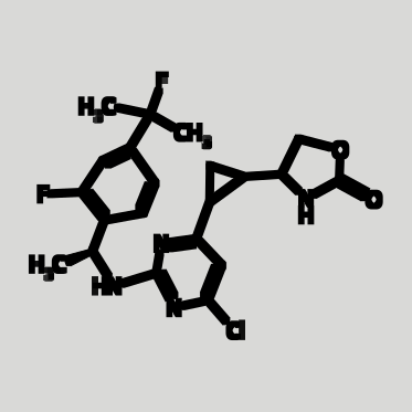 C[C@H](Nc1nc(Cl)cc(C2CC2C2COC(=O)N2)n1)c1ccc(C(C)(C)F)cc1F